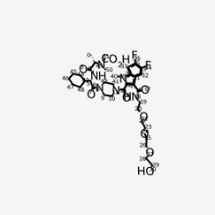 C[C@@H](C(=O)N[C@H](C(=O)N1CCN(C(=O)c2c(C(=O)NCCOCCOCCOCCO)c3cc(F)c(F)cc3n2C)CC1)C1CCCCC1)N(C)C(=O)O